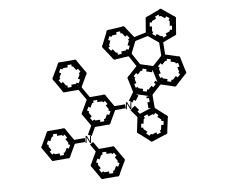 c1ccc(-c2cc(N(c3ccccc3)c3ccccc3)cc(-n3c4ccccc4c4c5cccc6c5c(cc43)-c3ccccc3-c3ccccc3-6)c2)cc1